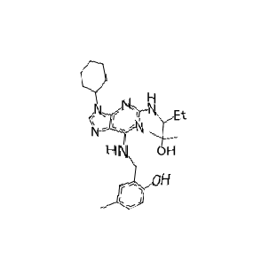 CCC(Nc1nc(NCc2cc(C)ccc2O)c2ncn(C3CCCCC3)c2n1)C(C)(C)O